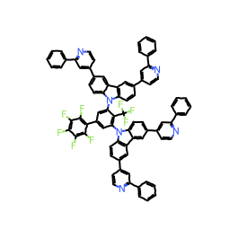 Fc1c(F)c(F)c(-c2cc(-n3c4ccc(-c5ccnc(-c6ccccc6)c5)cc4c4cc(-c5ccnc(-c6ccccc6)c5)ccc43)c(C(F)(F)F)c(-n3c4ccc(-c5ccnc(-c6ccccc6)c5)cc4c4cc(-c5ccnc(-c6ccccc6)c5)ccc43)c2)c(F)c1F